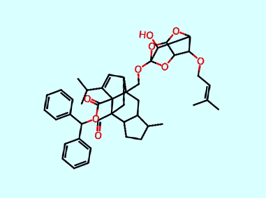 CC(C)=CCOC1C2OC3(OCC45CC6C(C)CCC6C6(C=O)CC4C=C(C(C)C)C65C(=O)OC(c4ccccc4)c4ccccc4)OC2OC1C3O